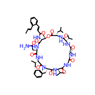 C/C=C/c1ccccc1/C=C/C(=O)N[C@H]1C(=O)N[C@H](CC(N)=O)C(=O)N[C@@H](C(C)C)C(=O)N(C)[C@@H](Cc2ccccc2)C(=O)N[C@H](C(C)C)C(=O)NCC(=O)NCC(=O)N[C@@H](C(C)C)C(=O)N[C@@H](CC(C)C)C(=O)O[C@@H]1C